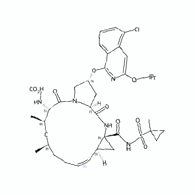 CC(C)Oc1cc2c(Cl)cccc2c(O[C@@H]2C[C@H]3C(=O)N[C@]4(C(=O)NS(=O)(=O)C5(C)CC5)C[C@H]4/C=C\CC[C@@H](C)C[C@@H](C)[C@H](NC(=O)O)C(=O)N3C2)n1